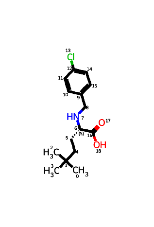 CC(C)(C)CC[C@H](NCc1ccc(Cl)cc1)C(=O)O